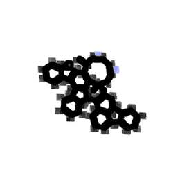 C=C1/C=C\C=C/CC(C)(C)c2c1c1oc3ccccc3c1c1c3ccccc3n(-c3ccc4c5c(cccc35)-c3ccccc3-4)c21